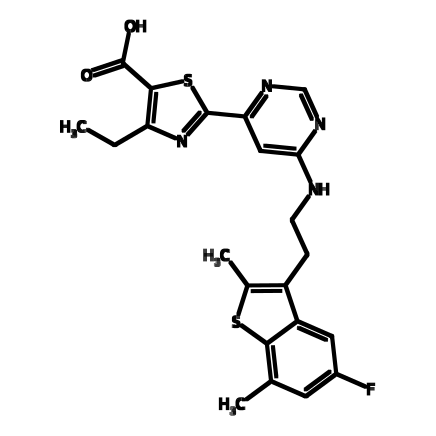 CCc1nc(-c2cc(NCCc3c(C)sc4c(C)cc(F)cc34)ncn2)sc1C(=O)O